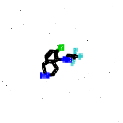 FC(F)(F)CNc1c(Cl)ccc2c1CCNCC2